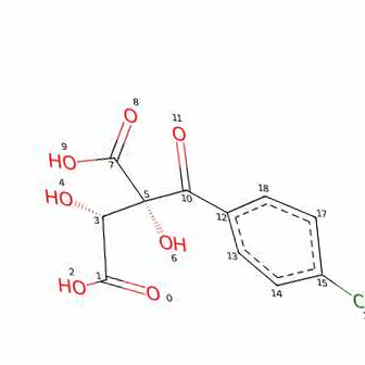 O=C(O)[C@H](O)[C@@](O)(C(=O)O)C(=O)c1ccc(Cl)cc1